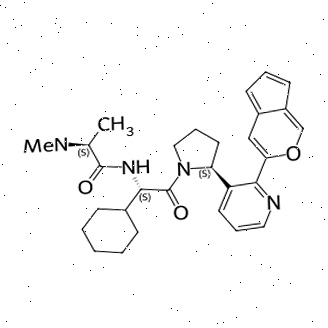 CN[C@@H](C)C(=O)N[C@H](C(=O)N1CCC[C@H]1c1cccnc1-c1cc2cccc-2co1)C1CCCCC1